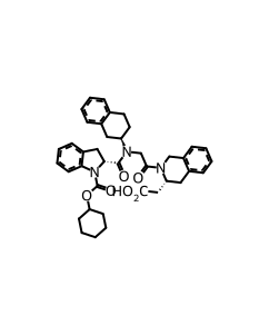 O=C(O)C[C@H]1Cc2ccccc2CN1C(=O)CN(C(=O)[C@H]1Cc2ccccc2N1C(=O)OC1CCCCC1)[C@@H]1CCc2ccccc2C1